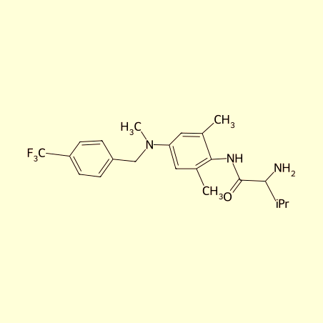 Cc1cc(N(C)Cc2ccc(C(F)(F)F)cc2)cc(C)c1NC(=O)C(N)C(C)C